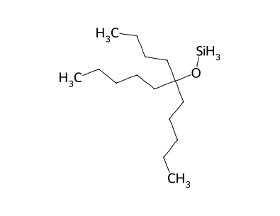 CCCCCC(CCCC)(CCCCC)O[SiH3]